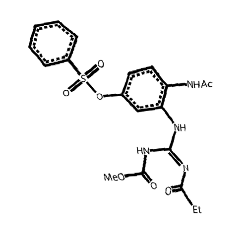 CCC(=O)/N=C(\NC(=O)OC)Nc1cc(OS(=O)(=O)c2ccccc2)ccc1NC(C)=O